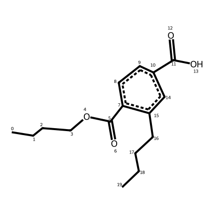 CCCCOC(=O)c1ccc(C(=O)O)cc1CCCC